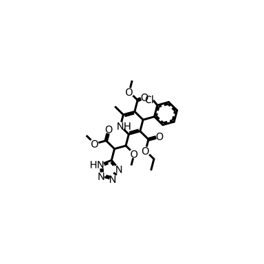 CCOC(=O)C1=C(C(OC)C(C(=O)OC)c2nnn[nH]2)NC(C)=C(C(=O)OC)C1c1ccccc1Cl